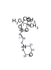 CC1(C)OB(/C=C/CN2CCOCC2)OC1(C)C